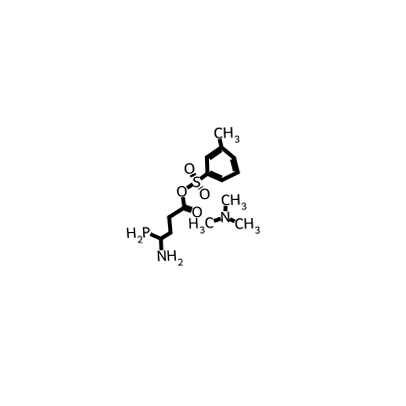 CN(C)C.Cc1cccc(S(=O)(=O)OC(=O)CCC(N)P)c1